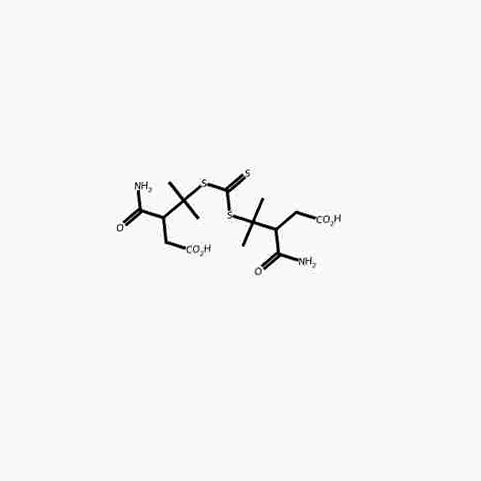 CC(C)(SC(=S)SC(C)(C)C(CC(=O)O)C(N)=O)C(CC(=O)O)C(N)=O